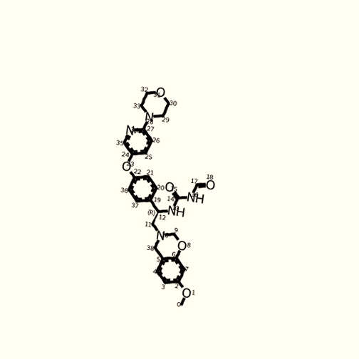 COc1ccc2c(c1)OCN(C[C@H](NC(=O)NC=O)c1ccc(Oc3ccc(N4CCOCC4)nc3)cc1)C2